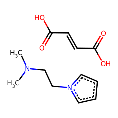 CN(C)CCn1cccc1.O=C(O)/C=C/C(=O)O